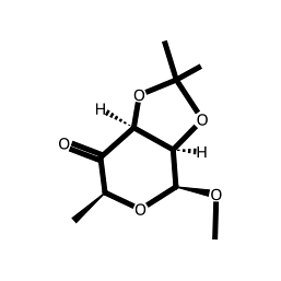 CO[C@H]1O[C@@H](C)C(=O)[C@H]2OC(C)(C)O[C@@H]12